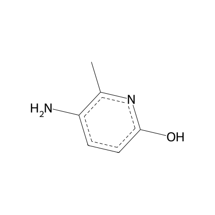 Cc1nc(O)ccc1N